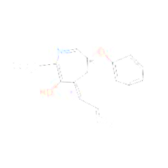 C=C/C=C1\C[C@@H](Oc2ccccc2)C=NC(C(=O)OCC)=C1O